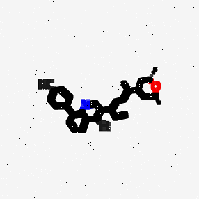 C=C/C(=C\C=C(/C)C1C[C@@H](C)O[C@@H](C)C1)c1cnc2c(-c3ccc(C#N)cc3)cccc2c1CC